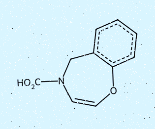 O=C(O)N1C=COc2ccccc2C1